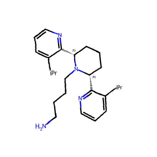 CC(C)c1cccnc1[C@H]1CCC[C@@H](c2ncccc2C(C)C)N1CCCCN